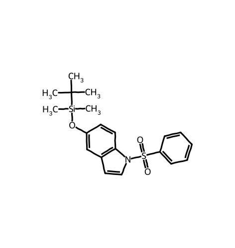 CC(C)(C)[Si](C)(C)Oc1ccc2c(ccn2S(=O)(=O)c2ccccc2)c1